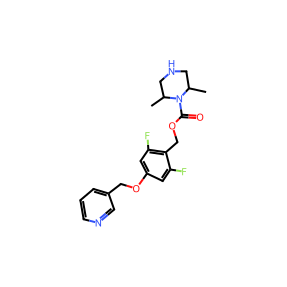 CC1CNCC(C)N1C(=O)OCc1c(F)cc(OCc2cccnc2)cc1F